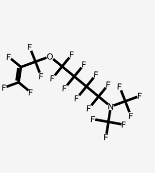 FC(F)=C(F)C(F)(F)OC(F)(F)C(F)(F)C(F)(F)C(F)(F)N(C(F)(F)F)C(F)(F)F